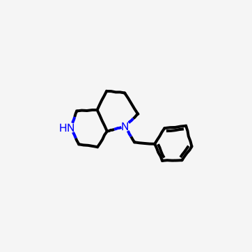 c1ccc(CN2CCCC3CNCCC32)cc1